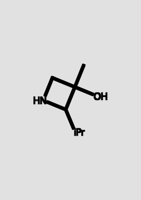 CC(C)C1NCC1(C)O